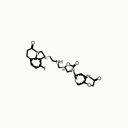 O=C1COc2ccc(N3C[C@@H](CNCC[C@H]4CN5C(=O)CCc6ccc(F)c4c65)OC3=O)cc2N1